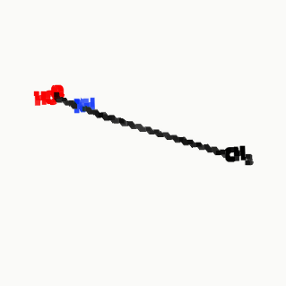 CCCCCCCCCCCCCCCCCCCCCCCCCCCCCCCCCCCCNCCCCCC(=O)O